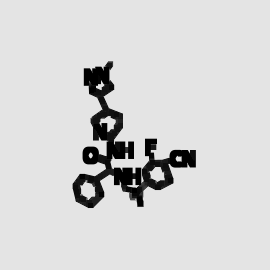 C[C@@H](CNC(C(=O)Nc1ccc(-c2cnn(C)c2)cn1)c1ccccc1)c1ccc(C#N)c(F)c1